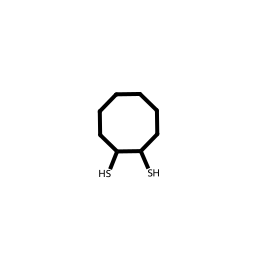 SC1CCCCCCC1S